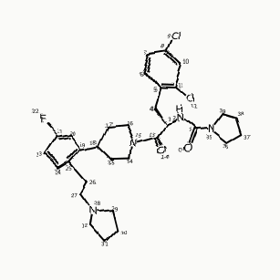 O=C(N[C@H](Cc1ccc(Cl)cc1Cl)C(=O)N1CCC(c2cc(F)ccc2CCN2CCCC2)CC1)N1CCCC1